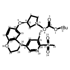 CC(C)(C)OC(=O)ON1CC[C@H](Oc2ccc3c(c2)N(c2cnc(S(C)(=O)=O)c(F)c2)CCO3)C1